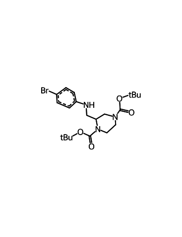 CC(C)(C)OC(=O)N1CCN(C(=O)OC(C)(C)C)C(CNc2ccc(Br)cc2)C1